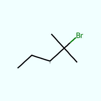 CC[CH]C(C)(C)Br